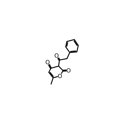 CC1=CC(=O)C(C(=O)Cc2ccccc2)C(=O)O1